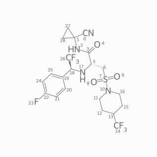 N#CC1(NC(=O)[C@H](CS(=O)(=O)N2CCC(C(F)(F)F)CC2)N[C@@H](c2ccc(F)cc2)C(F)(F)F)CC1